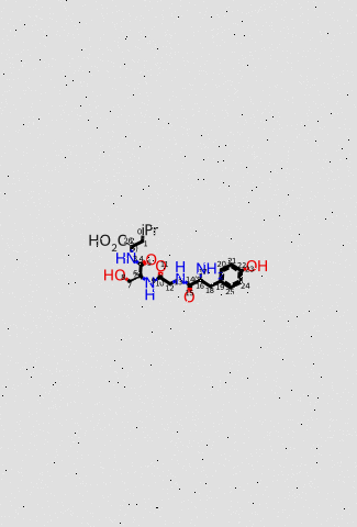 CC(C)C[C@H](NC(=O)[C@H](CO)NC(=O)CNC(=O)[C@@H](N)Cc1ccc(O)cc1)C(=O)O